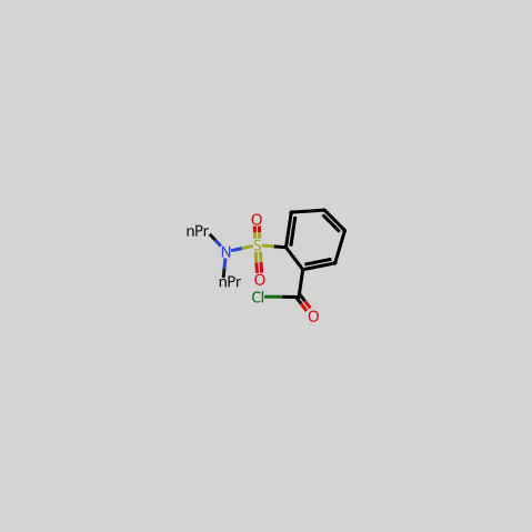 CCCN(CCC)S(=O)(=O)c1ccccc1C(=O)Cl